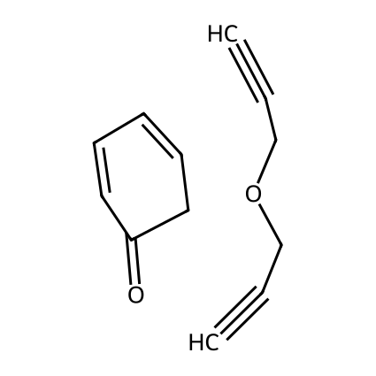 C#CCOCC#C.O=C1C=CC=CC1